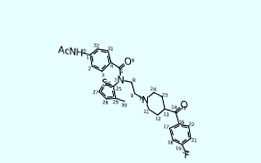 CC(=O)Nc1ccc(C(=O)N(CCN2CCC(C(=O)c3ccc(F)cc3)CC2)c2sccc2C)cc1